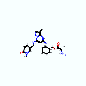 Cc1cnn2c(NCc3ccc(=O)n(C)c3)cc(N[C@H]3CCCC[C@H]3COC(=O)[C@H](C)N)nc12